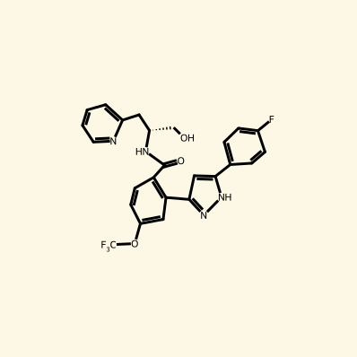 O=C(N[C@@H](CO)Cc1ccccn1)c1ccc(OC(F)(F)F)cc1-c1cc(-c2ccc(F)cc2)[nH]n1